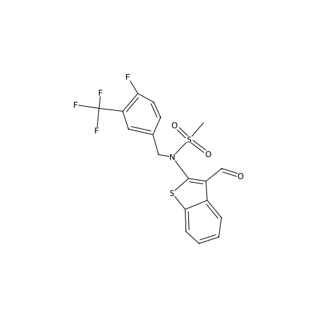 CS(=O)(=O)N(Cc1ccc(F)c(C(F)(F)F)c1)c1sc2ccccc2c1C=O